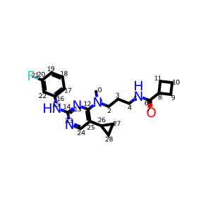 CN(CCCNC(=O)C1CCC1)c1nc(Nc2cccc(F)c2)ncc1C1CC1